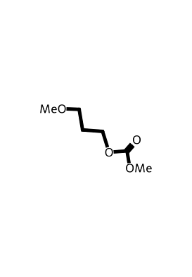 [CH2]OC(=O)OCCCOC